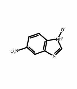 O=[N+]([O-])c1ccc2c(c1)N=C[NH+]2[O-]